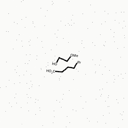 CC(C)CCCC(=O)O.COCCO